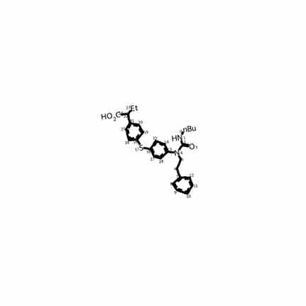 CCCCNC(=O)N(CCc1ccccc1)c1ccc(Sc2ccc(C(CC)C(=O)O)cc2)cc1